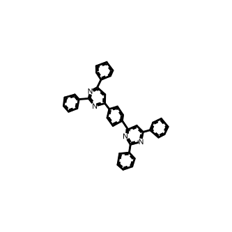 c1ccc(-c2cc(-c3ccc(-c4cc(-c5ccccc5)nc(-c5ccccc5)n4)cc3)nc(-c3ccccc3)n2)cc1